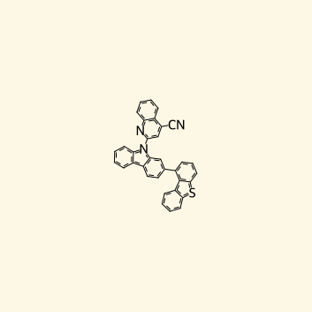 N#Cc1cc(-n2c3ccccc3c3ccc(-c4cccc5sc6ccccc6c45)cc32)nc2ccccc12